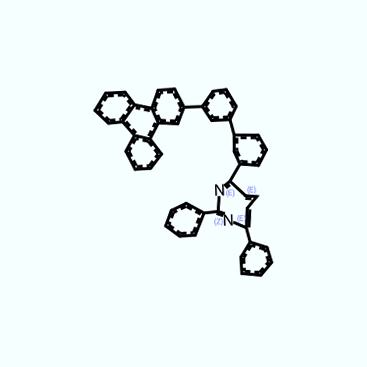 C1=C/C(c2cccc(-c3cccc(-c4ccc5c6ccccc6c6ccccc6c5c4)c3)c2)=N\C(c2ccccc2)=N/C(c2ccccc2)=C/1